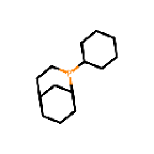 C1CCC(P2CCC3CCCC2C3)CC1